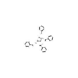 O=C(OC[C@H]1O[C@H](OCc2ccccc2)[C@@H](OC(=O)c2ccccc2)[C@@H]1OC(=O)c1ccccc1)c1ccccc1